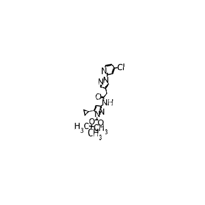 CC(C)(C)OC(=O)n1nc(NC(=O)Cc2cnn(-c3cc(Cl)ccn3)c2)cc1C1CC1